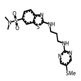 CSc1cnc(NCCCNc2nc3ccc(S(=O)(=O)N(C)C)cc3s2)nc1